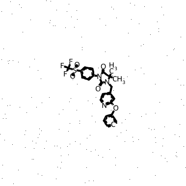 CC1(C)C(=O)N(c2ccc(S(=O)(=O)C(F)(F)F)cc2)C(=O)N1Cc1ccnc(Oc2ccccc2)c1